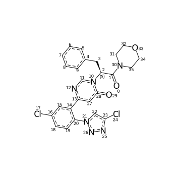 O=C([C@H](Cc1ccccc1)n1cnc(-c2cc(Cl)ccc2-n2cc(Cl)nn2)cc1=O)N1CCOCC1